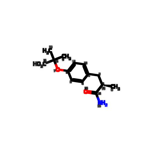 C[C@@H](Cc1ccc(OC(C)(C)C(=O)O)cc1)C(N)=O